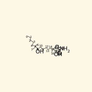 CCCCCC(C)(C)C(O)CCCCCC(C)(C)C(O)S(N)(=O)=O